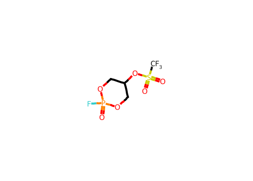 O=P1(F)OCC(OS(=O)(=O)C(F)(F)F)CO1